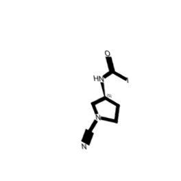 N#CN1CC[C@H](NC(=O)I)C1